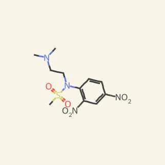 CN(C)CCN(c1ccc([N+](=O)[O-])cc1[N+](=O)[O-])S(C)(=O)=O